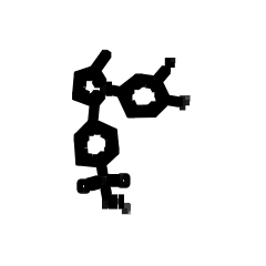 Cc1ccc(-c2ccc(S(N)(=O)=O)cc2)n1-c1ccc(F)c(F)c1